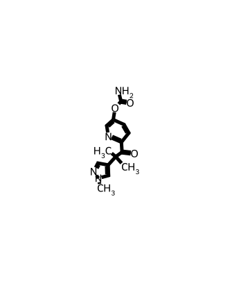 Cn1cc(C(C)(C)C(=O)c2ccc(OC(N)=O)cn2)cn1